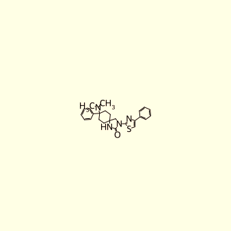 CN(C)C1(c2ccccc2)CCC2(CC1)CN(c1nc(-c3ccccc3)cs1)C(=O)N2